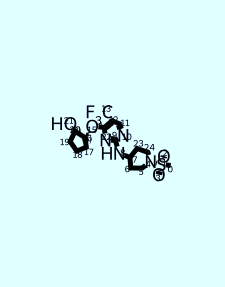 CS(=O)(=O)N1CCC(Nc2ncc(C(F)(F)F)c(O[C@H]3CCC[C@H]3O)n2)CC1